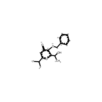 CC(O)c1oc(C(F)F)cc(=O)c1OCc1ccccc1